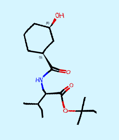 CC(C)C(NC(=O)[C@H]1CCC[C@@H](O)C1)C(=O)OC(C)(C)C